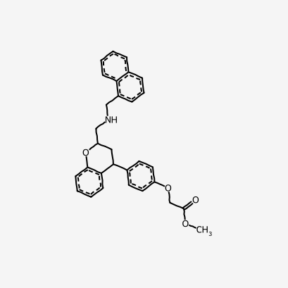 COC(=O)COc1ccc(C2CC(CNCc3cccc4ccccc34)Oc3ccccc32)cc1